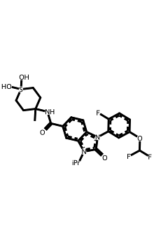 CC(C)n1c(=O)n(-c2cc(OC(F)F)ccc2F)c2ccc(C(=O)NC3(C)CCS(O)(O)CC3)cc21